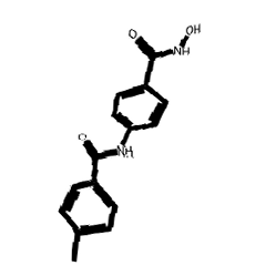 Cc1ccc(C(=O)Nc2ccc(C(=O)NO)cc2)cc1